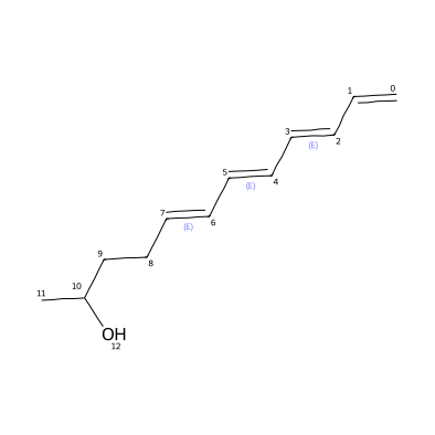 C=C/C=C/C=C/C=C/CCC(C)O